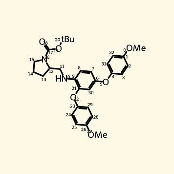 COc1ccc(Oc2ccc(NCC3CCCN3C(=O)OC(C)(C)C)c(Oc3ccc(OC)cc3)c2)cc1